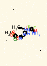 CCCCCN(C(=O)Nc1cc(C(N)=O)c(F)cc1F)C1CCN(Cc2ccc(Oc3ccc(S(C)(=O)=O)cc3Cl)nc2)CC1